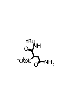 CC(C)(C)NC(=O)C(CC(N)=O)C(=O)[O-].[Na+]